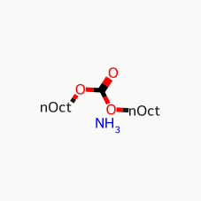 CCCCCCCCOC(=O)OCCCCCCCC.N